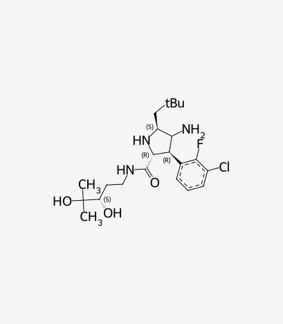 CC(C)(C)C[C@@H]1N[C@@H](C(=O)NCC[C@H](O)C(C)(C)O)[C@H](c2cccc(Cl)c2F)C1N